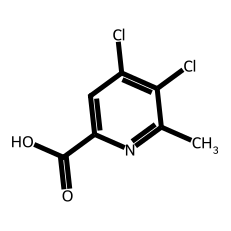 Cc1nc(C(=O)O)cc(Cl)c1Cl